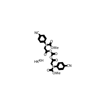 COC(=O)N(CC(=O)OC(=O)OC(=O)CN(C(=O)OC)c1ccc(C#N)cc1)c1ccc(C#N)cc1.[KH].[KH]